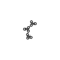 c1ccc(-n2c3ccccc3c3cc(-c4ccc5c(c4)c4ccc(-c6ccc7c8cccc9c%10ccccc%10n(c7c6)c98)cc4n5-c4ccccc4)ccc32)cc1